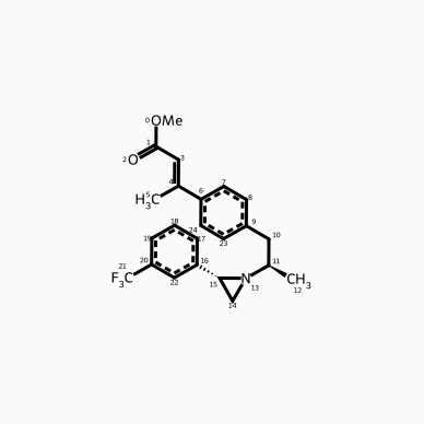 COC(=O)/C=C(\C)c1ccc(C[C@@H](C)N2C[C@@H]2c2cccc(C(F)(F)F)c2)cc1